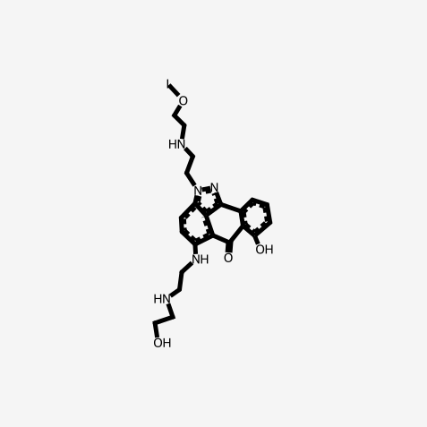 O=C1c2c(O)cccc2-c2nn(CCNCCOI)c3ccc(NCCNCCO)c1c23